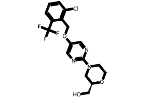 OC[C@H]1CN(c2ncc(OCc3c(Cl)cccc3C(F)(F)F)cn2)CCO1